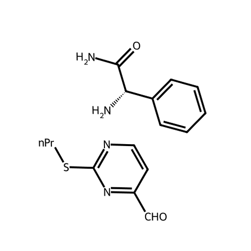 CCCSc1nccc(C=O)n1.NC(=O)[C@@H](N)c1ccccc1